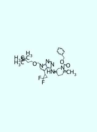 C[C@H]1CC[C@@H](Nc2ncnc3c2c(C2CC2(F)F)cn3COCC[Si](C)(C)C)CN1C(=O)OCc1ccccc1